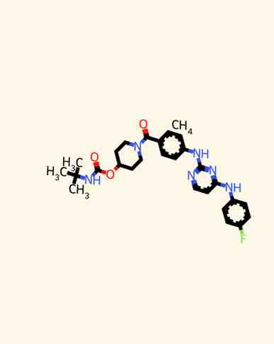 C.CC(C)(C)NC(=O)OC1CCN(C(=O)c2ccc(Nc3nccc(Nc4ccc(F)cc4)n3)cc2)CC1